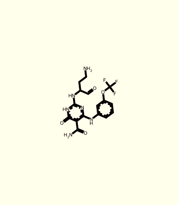 NCCC(C=O)Nc1nc(Nc2cccc(OC(F)(F)F)c2)c(C(N)=O)c(=O)[nH]1